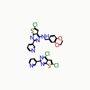 Clc1cc2c(Cl)nc(-c3cccnc3)nc2s1.Clc1cc2c(NCc3ccc4c(c3)OCCO4)nc(-c3cccnc3)nc2s1